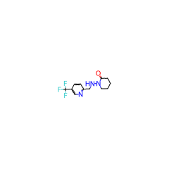 O=C1CCCCN1NCc1ccc(C(F)(F)F)cn1